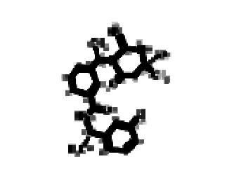 CC(C)[C@]1(C)CC(=O)N([C@H](C)c2cccc(C(=O)N[C@@H](C)c3cccc(Cl)c3)c2)C(=N)N1